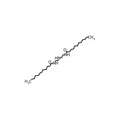 CCCCCCCCCCCC(=O)NCCNCCNC(=O)CCCCCCCCCCC